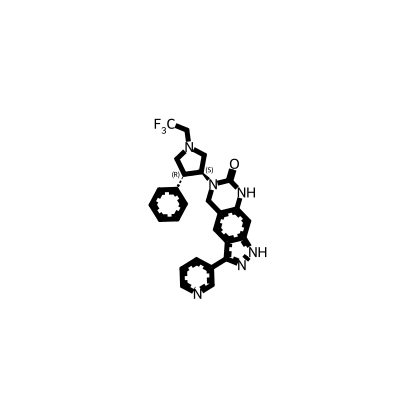 O=C1Nc2cc3[nH]nc(-c4cccnc4)c3cc2CN1[C@@H]1CN(CC(F)(F)F)C[C@H]1c1ccccc1